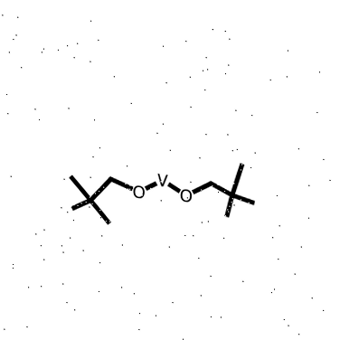 CC(C)(C)C[O][V][O]CC(C)(C)C